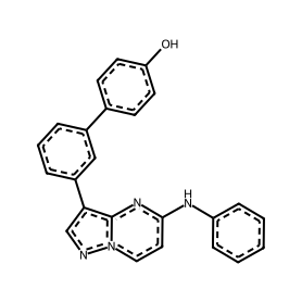 Oc1ccc(-c2cccc(-c3cnn4ccc(Nc5ccccc5)nc34)c2)cc1